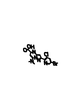 CN(C)c1cc(C(=O)O)nc2cc(-c3ncc(Br)cc3Cl)nn12